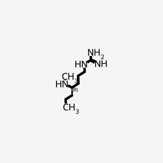 CCC[C@H](CCCNC(=N)N)NC